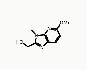 COc1ccc2nc(CO)n(C)c2n1